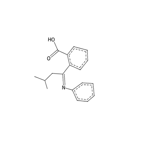 CC(C)CC(=Nc1ccccc1)c1ccccc1C(=O)O